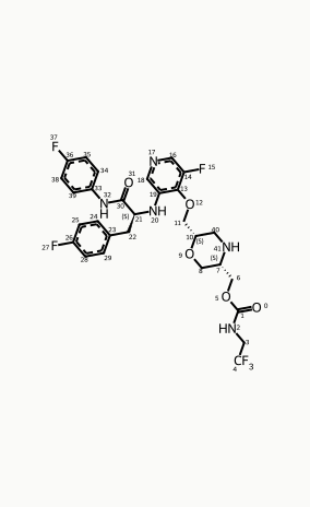 O=C(NCC(F)(F)F)OC[C@@H]1CO[C@H](COc2c(F)cncc2N[C@@H](Cc2ccc(F)cc2)C(=O)Nc2ccc(F)cc2)CN1